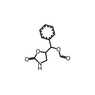 O=COC(c1ccccc1)C1CNC(=O)O1